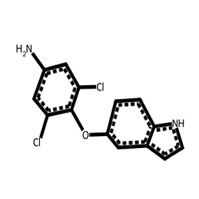 Nc1cc(Cl)c(Oc2ccc3[nH]ccc3c2)c(Cl)c1